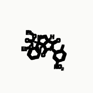 CCOP(=O)(OCC)[C@]1(c2ccccc2)N=C[C@H]2C(=O)N(c3cc([N+](=O)[O-])ccc3C)C(=O)[C@H]21